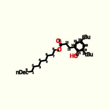 CCCCCCCCCCCCCCCCCCOC(=O)CCc1cc(C(C)(C)C)cc(C(C)(C)C)c1O